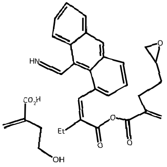 C=C(CCC1CO1)C(=O)OC(=O)C(=Cc1cccc2cc3ccccc3c(C=N)c12)CC.C=C(CCO)C(=O)O